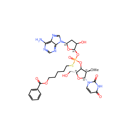 CO[C@@H]1C(OP(=O)(O[C@H]2O[C@@H](n3cnc4c(N)ncnc43)CC2O)SCCCCCOC(=O)c2ccccc2)[C@@H](CO)O[C@H]1n1ccc(=O)[nH]c1=O